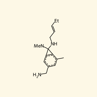 CC/C=C/CNC1(NC)c2cc(CN)cc(C)c21